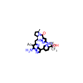 CC(=O)c1c(CC[C@H]2CC[C@@H](C)N2C(=O)c2cc(N)n[nH]2)nc2c(-c3ccc(C(O)(C(F)(F)F)C(F)(F)F)nc3)cnn2c1N